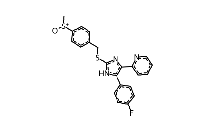 C[S+]([O-])c1ccc(CSc2nc(-c3ccccn3)c(-c3ccc(F)cc3)[nH]2)cc1